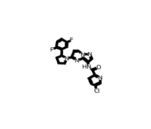 O=C(Nc1cnn2ccc(N3CCCC3c3cc(F)ccc3F)nc12)c1ccc(Cl)cn1